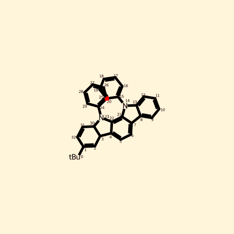 CC(C)(C)C1=CC2c3ccc4c5ccccc5n(-c5ccccc5)c4c3N(c3ccccc3)C2C=C1